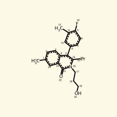 Cc1ccc2c(-c3ccc(F)c(C)c3)c(C(C)C)n(CCCO)c(=O)c2c1